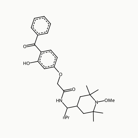 CCCC(NC(=O)COc1ccc(C(=O)c2ccccc2)c(O)c1)C1CC(C)(C)N(OC)C(C)(C)C1